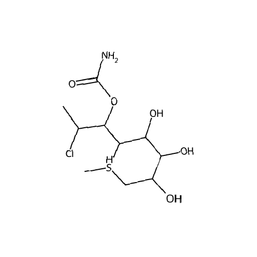 CC(Cl)C(OC(N)=O)C1C(O)C(O)C(O)C[SH]1C